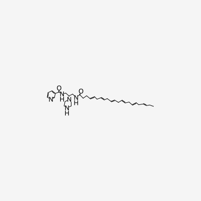 CCC=CCC=CCC=CCC=CCC=CCC=CCCC(=O)NCC(CNC(=O)c1cccnc1)N1CCNCC1